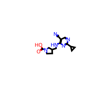 N#Cc1cnc(C2CC2)nc1NCC1CCN(C(=O)O)C1